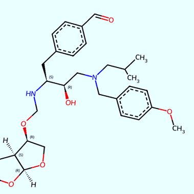 COc1ccc(CN(CC(C)C)C[C@@H](O)[C@H](Cc2ccc(C=O)cc2)NCO[C@H]2CO[C@H]3OCC[C@H]32)cc1